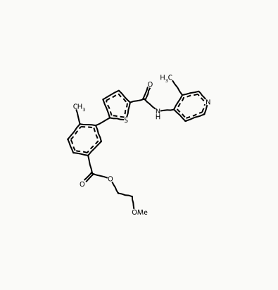 COCCOC(=O)c1ccc(C)c(-c2ccc(C(=O)Nc3ccncc3C)s2)c1